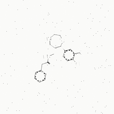 O=C(Cc1ccccc1)NC[C@@H]1CNCCO[C@H]1c1ccc(Cl)c(Cl)c1